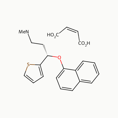 CNCC[C@H](Oc1cccc2ccccc12)c1cccs1.O=C(O)/C=C\C(=O)O